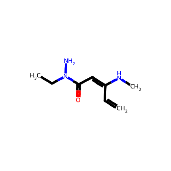 C=C/C(=C\C(=O)N(N)CC)NC